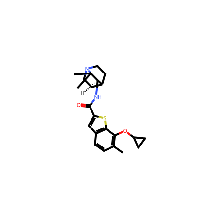 Cc1ccc2cc(C(=O)N[C@@H]3C4CCN(CC4)C3(C)C)sc2c1OC1CC1